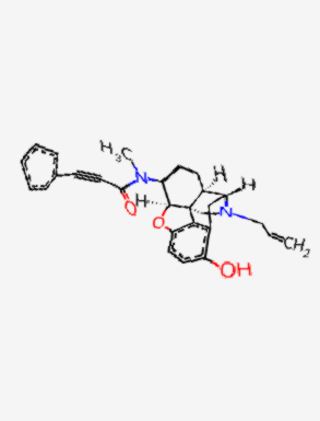 C=CCN1CC[C@@]23c4c5ccc(O)c4C[C@@H]1[C@@H]2CC[C@H](N(C)C(=O)C#Cc1ccccc1)[C@@H]3O5